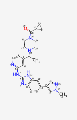 CC(c1ccnc(Nc2nc3ccc(-c4cnn(C)c4)cc3[nH]2)c1)N1CCN(C(=O)C2CC2)CC1